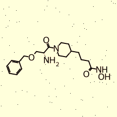 N[C@H](COCc1ccccc1)C(=O)N1CCC(CCCC(=O)NO)CC1